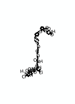 CO[C@@H](C)c1c(NC(=O)Nc2cc(Cl)cnc2OCCNC(=O)CCOCCOCCOCCN2CCN(Cc3ccc(COc4cccc5c4CN([C@H]4CCC(=O)NC4=O)C5=O)cc3)CC2)cnc2cc(Cl)nn12